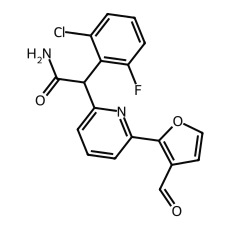 NC(=O)C(c1cccc(-c2occc2C=O)n1)c1c(F)cccc1Cl